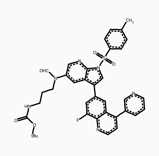 Cc1ccc(S(=O)(=O)n2cc(-c3cc(F)c4nccc(-c5cccnc5)c4c3)c3cc(N(C=O)CCCNC(=O)OC(C)(C)C)cnc32)cc1